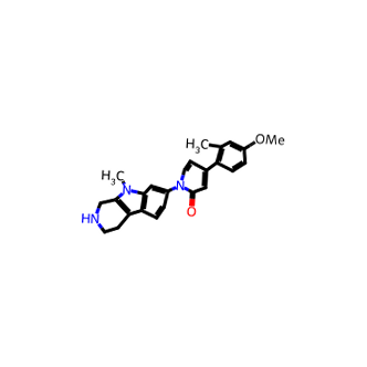 COc1ccc(-c2ccn(-c3ccc4c5c(n(C)c4c3)CNCC5)c(=O)c2)c(C)c1